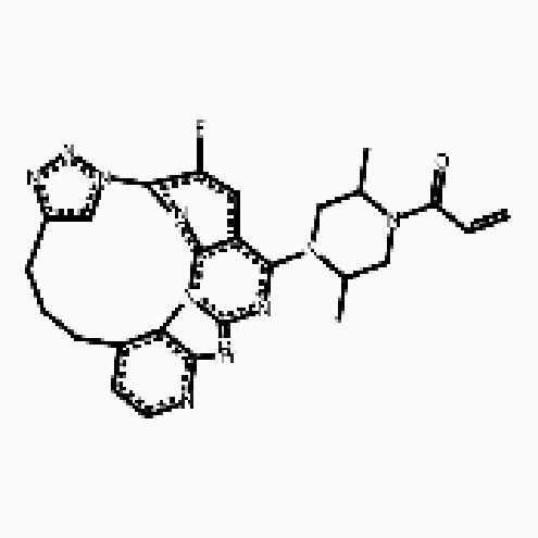 C=CC(=O)N1CC(C)N(c2nc(=O)n3c4nc(c(F)cc24)-n2cc(nn2)CCCc2ccnc(C(C)C)c2-3)CC1C